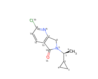 C[C@@H](C1CC1)N1Cc2nc(Cl)ccc2C1=O